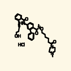 CN1CCN(C(=O)CCCCCON(C)C(=O)c2ccc(NC(=O)c3ccccc3C#CCCO)cc2-c2ccccc2)CC1.Cl